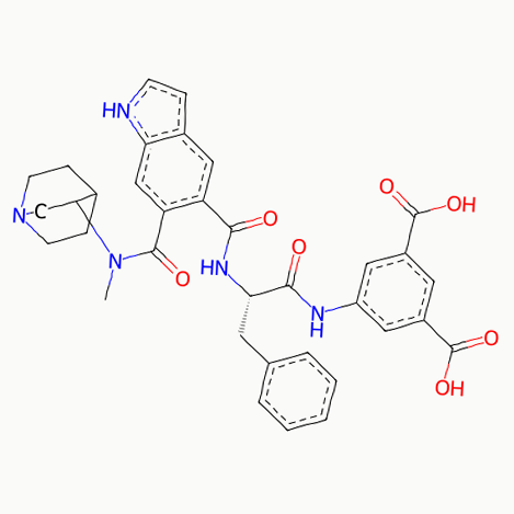 CN(C(=O)c1cc2[nH]ccc2cc1C(=O)N[C@@H](Cc1ccccc1)C(=O)Nc1cc(C(=O)O)cc(C(=O)O)c1)C1CN2CCC1CC2